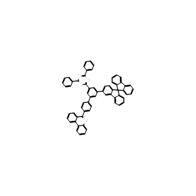 c1ccc(-c2nc(-c3ccccc3)nc(-c3cc(-c4ccc(-c5nc6ccccc6c6ccccc56)cc4)cc(-c4ccc5c(c4)-c4ccccc4C54c5ccccc5-c5ccccc54)c3)n2)cc1